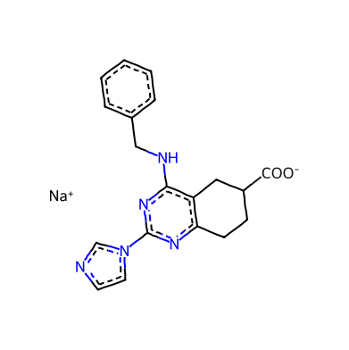 O=C([O-])C1CCc2nc(-n3ccnc3)nc(NCc3ccccc3)c2C1.[Na+]